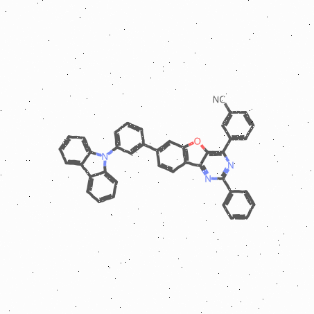 N#Cc1cccc(-c2nc(-c3ccccc3)nc3c2oc2cc(-c4cccc(-n5c6ccccc6c6ccccc65)c4)ccc23)c1